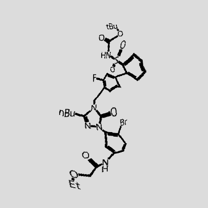 CCCCc1nn(-c2cc(NC(=O)COCC)ccc2Br)c(=O)n1Cc1ccc(-c2ccccc2S(=O)(=O)NC(=O)OC(C)(C)C)cc1F